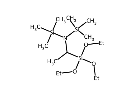 CCO[Si](OCC)(OCC)C(C)N([Si](C)(C)C)[Si](C)(C)C